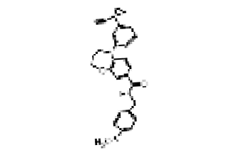 CSc1ccc(CNC(=O)c2ccc3c(c2)OCCCN3c2cccc(C3(C#N)CC3)c2)cc1